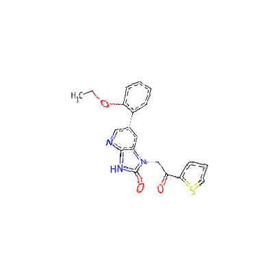 CCOc1ccccc1-c1cnc2[nH]c(=O)n(CC(=O)c3cccs3)c2c1